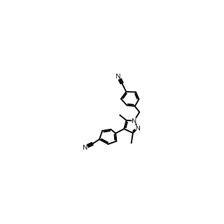 Cc1nn(Cc2ccc(C#N)cc2)c(C)c1-c1ccc(C#N)cc1